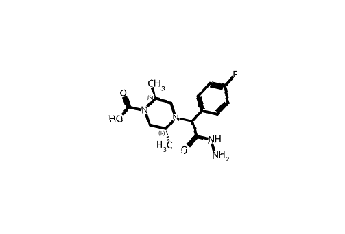 C[C@@H]1CN(C(=O)O)[C@@H](C)CN1C(C(=O)NN)c1ccc(F)cc1